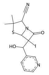 CC1(C)SC2N(C(=O)C2(I)C(O)c2cccnc2)C1C#N